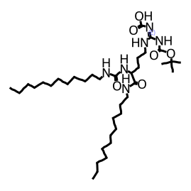 CCCCCCCCCCCCNC(=O)NC(CCCN/C(=N\C(=O)O)NC(=O)OC(C)(C)C)C(=O)NCCCCCCCCCCCC